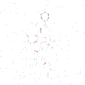 CC(C)[C@H](NC(=O)CC1CCOCC1)C(=O)N1C[C@H]2[C@@H]([C@H]1C(=O)N[C@@H](C[C@@H]1Oc3cc(F)ccc3NC1=O)C(N)=O)C2(C)C